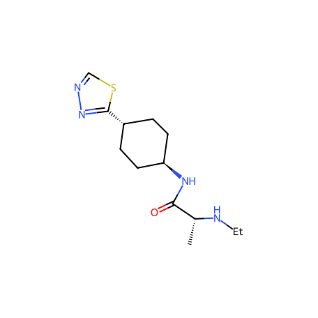 CCN[C@H](C)C(=O)N[C@H]1CC[C@H](c2nncs2)CC1